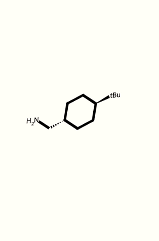 CC(C)(C)[C@H]1CC[C@H](CN)CC1